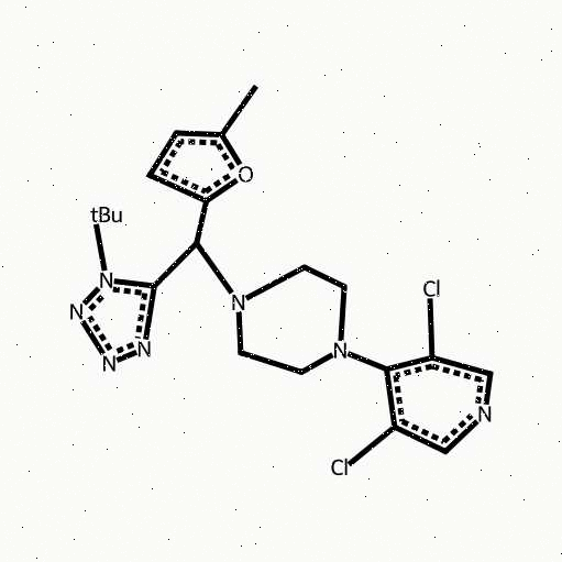 Cc1ccc(C(c2nnnn2C(C)(C)C)N2CCN(c3c(Cl)cncc3Cl)CC2)o1